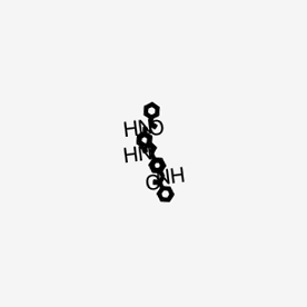 O=C(Nc1ccc(-c2cc3cc(NC(=O)C4CCCCC4)ccc3[nH]2)cc1)C1CCCCC1